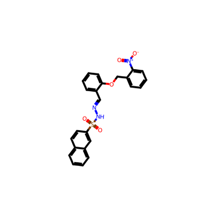 O=[N+]([O-])c1ccccc1COc1ccccc1/C=N/NS(=O)(=O)c1ccc2ccccc2c1